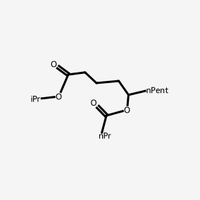 CCCCCC(CCCC(=O)OC(C)C)OC(=O)CCC